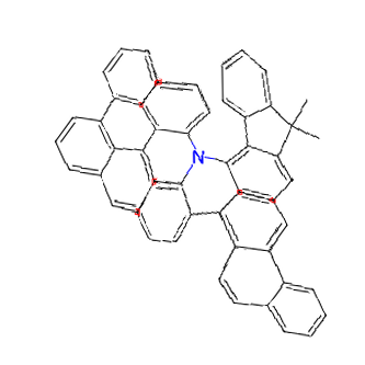 CC1(C)c2ccccc2-c2c(N(c3ccccc3-c3cccc4c3ccc3ccccc34)c3ccccc3-c3cccc4cccc(-c5ccccc5)c34)cccc21